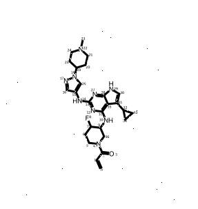 C=CC(=O)N1CCC(F)C(Nc2nc(Nc3cnn(C4CCN(C)CC4)c3)nc3[nH]cc(C4CC4)c23)C1